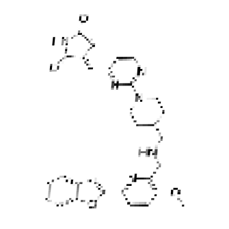 COc1ccc(-c2cc3ccccc3o2)nc1CNCC1CCN(c2nccc(/C=C3\SC(=O)NC3=O)n2)CC1